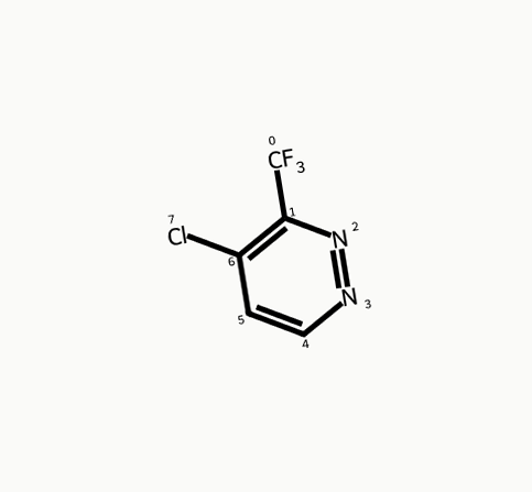 FC(F)(F)c1nnccc1Cl